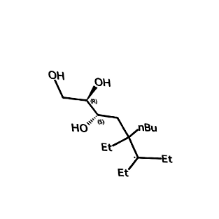 [CH2]CCCC(CC)(C[C@H](O)[C@H](O)CO)[C](CC)CC